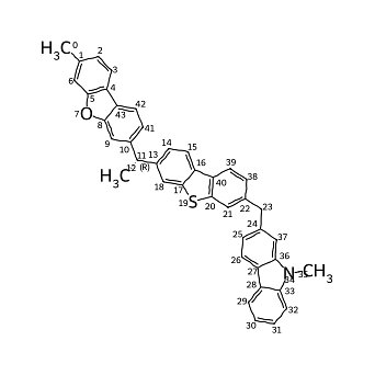 Cc1ccc2c(c1)oc1cc([C@@H](C)c3ccc4c(c3)sc3cc(Cc5ccc6c7ccccc7n(C)c6c5)ccc34)ccc12